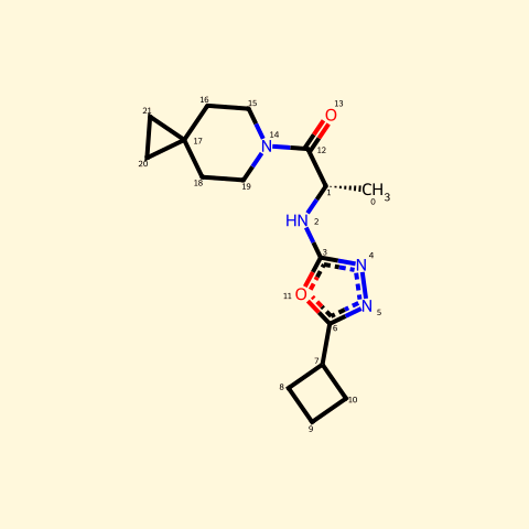 C[C@H](Nc1nnc(C2CCC2)o1)C(=O)N1CCC2(CC1)CC2